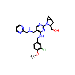 COc1ccc(CNc2nc(N3C(CO)CC4CC43)ncc2CNCc2ncccn2)cc1Cl